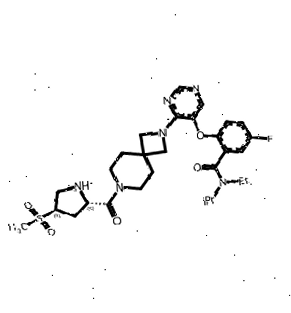 CCN(C(=O)c1cc(F)ccc1Oc1cncnc1N1CC2(CCN(C(=O)[C@@H]3C[C@@H](S(C)(=O)=O)CN3)CC2)C1)C(C)C